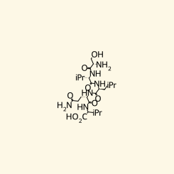 CC(C)C[C@H](NC(=O)[C@@H](NC(=O)[C@@H](N)CO)C(C)C)C(=O)N[C@@H](CCC(N)=O)C(=O)N[C@H](C(=O)O)C(C)C